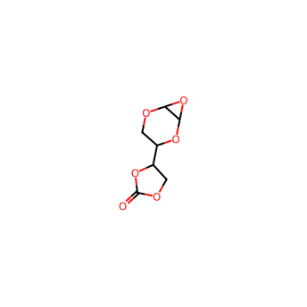 O=C1OCC(C2COC3OC3O2)O1